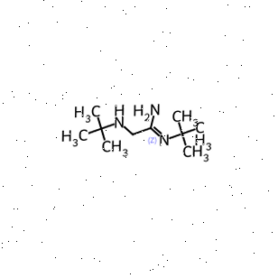 CC(C)(C)/N=C(\N)CNC(C)(C)C